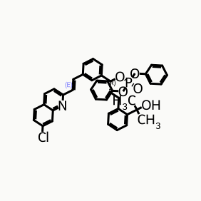 CC(C)(O)c1ccccc1CC[C@@H](OP(=O)(Oc1ccccc1)Oc1ccccc1)c1cccc(/C=C/c2ccc3ccc(Cl)cc3n2)c1